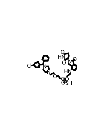 O=C1CCC(N2Cc3c(NCCO[P@](=O)(S)OCCOCCN4CCN(C(c5ccccc5)c5ccc(Cl)cc5)CC4)cccc3C2=O)C(=O)N1